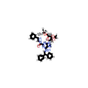 CC1(C)O[C@H]2[C@H](O1)C(CO[Si](C)(C)C(C)(C)C)O[C@H]2n1cnc2c(NCC(c3ccccc3)c3ccccc3)nc(C(=O)NCCc3ccccc3)nc21